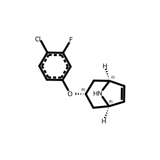 Fc1cc(O[C@@H]2C[C@H]3C=C[C@@H](C2)N3)ccc1Cl